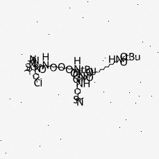 Cc1ncsc1-c1ccc(CNC(=O)[C@@H]2C[C@@H](OC(=O)CCCCCCCCCCCNC(=O)OC(C)(C)C)CN2C(=O)[C@@H](NC(=O)COCCOCCOCCNC(=O)C[C@@H]2N=C(c3ccc(Cl)cc3)c3c(sc(C)c3C)-n3c(C)nnc32)C(C)(C)C)cc1